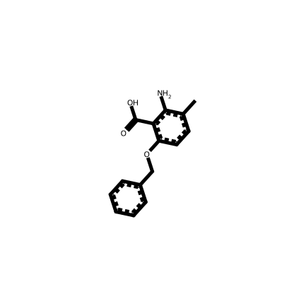 Cc1ccc(OCc2ccccc2)c(C(=O)O)c1N